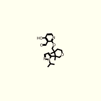 CC(C)n1nccc1C1(C)COCCC1(C)COc1nccc(O)c1C=O